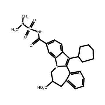 CN(C)S(=O)(=O)NC(=O)c1ccc2c(C3CCCCC3)c3n(c2c1)CC(C(=O)O)Cc1ccccc1-3